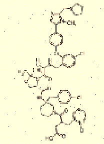 CC(NCc1ccc(Cl)cc1Oc1ccc(-c2cnc(CN3CCCC3)n2C)cc1)C(=O)N1[C@H](C(=O)N[C@@]2(Cc3ccc(Cl)cc3)CCCN(C(=O)C(CC(=O)O)Cc3cccc[n+]3[O-])C2)COC1(C)C